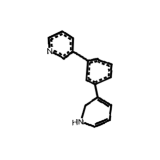 C1=CNCC(c2cccc(-c3cccnc3)c2)=C1